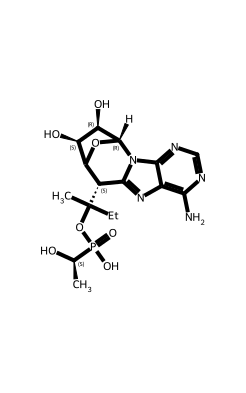 CCC(C)(OP(=O)(O)[C@@H](C)O)[C@H]1c2nc3c(N)ncnc3n2[C@@H]2OC1[C@@H](O)[C@H]2O